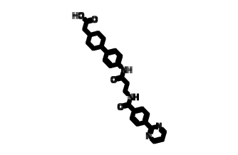 O=C(O)CC1CCC(c2ccc(NC(=O)CCNC(=O)c3ccc(-c4ncccn4)cc3)cc2)CC1